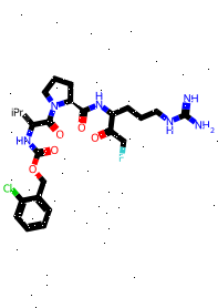 CC(C)C(NC(=O)OCc1ccccc1Cl)C(=O)N1CCC[C@H]1C(=O)NC(CCCNC(=N)N)C(=O)CF